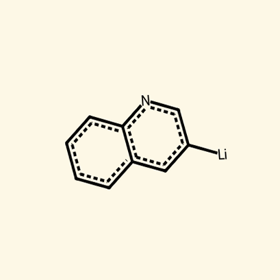 [Li][c]1cnc2ccccc2c1